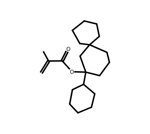 C=C(C)C(=O)OC1(C2CCCCC2)CCCC2(CCCCC2)C1